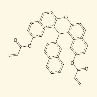 C=CC(=O)Oc1ccc2ccc3c(c2c1)C(c1ccc2ccccc2c1)c1c(ccc2ccc(OC(=O)C=C)cc12)O3